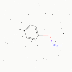 N=NOc1ccc(C(=O)O)cc1